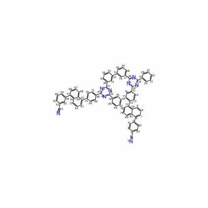 N#Cc1ccc(-c2cccc3c(-c4ccc(-c5nc(-c6ccccc6)nc(-c6cccc(-c7cccc(-c8nc(-c9ccccc9)nc(-c9ccc(-c%10cccc%11c(-c%12cccc(C#N)c%12)cccc%10%11)cc9)n8)c7)c6)n5)cc4)cccc23)cc1